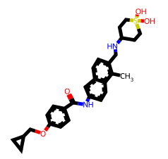 Cc1c(CNC2CCS(O)(O)CC2)ccc2cc(NC(=O)c3ccc(OCC4CC4)cc3)ccc12